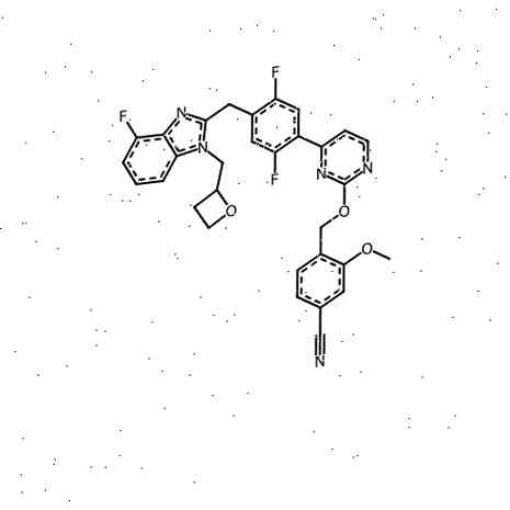 COc1cc(C#N)ccc1COc1nccc(-c2cc(F)c(Cc3nc4c(F)cccc4n3CC3CCO3)cc2F)n1